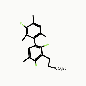 CCOC(=O)CCc1c(F)c(C)cc(-c2c(C)cc(C)c(F)c2C)c1F